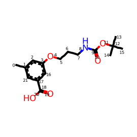 Cc1cc(OCCCNC(=O)OC(C)(C)C)cc(C(=O)O)c1